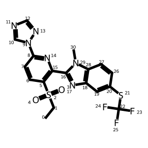 CCS(=O)(=O)c1ccc(-n2cncn2)nc1-c1nc2cc(SC(F)(F)F)ccc2n1C